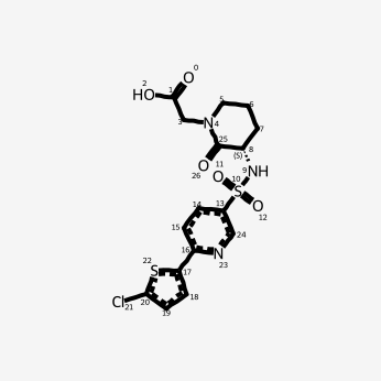 O=C(O)CN1CCC[C@H](NS(=O)(=O)c2ccc(-c3ccc(Cl)s3)nc2)C1=O